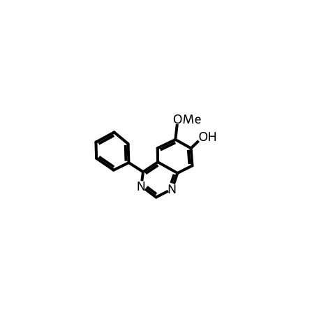 COc1cc2c(-c3ccccc3)ncnc2cc1O